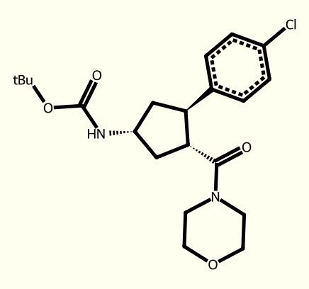 CC(C)(C)OC(=O)N[C@H]1C[C@@H](C(=O)N2CCOCC2)[C@H](c2ccc(Cl)cc2)C1